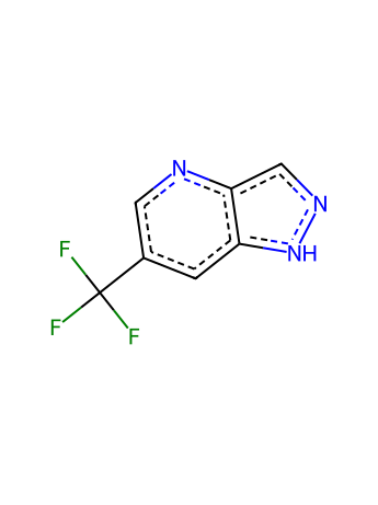 FC(F)(F)c1cnc2cn[nH]c2c1